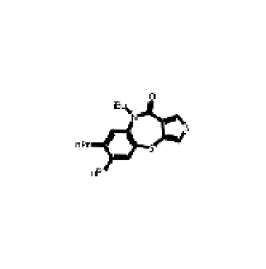 CCCc1cc2c(cc1CCC)N(C(C)CC)C(=O)c1cscc1S2